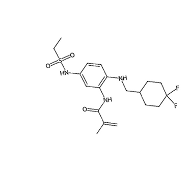 C=C(C)C(=O)Nc1cc(NS(=O)(=O)CC)ccc1NCC1CCC(F)(F)CC1